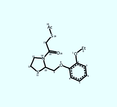 CCOc1ccccc1OCC1SCCN1C(=O)CSC(C)=O